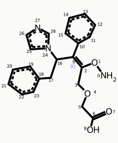 NO/C(COCC(=O)O)=C(\c1ccccc1)C(Cc1ccccc1)n1ccnc1